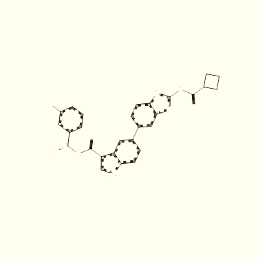 Cc1cccc([C@H](C)NC(=O)c2c[nH]c3ccc(-c4ccc5nc(NC(=O)C6CCC6)sc5c4)cc23)c1